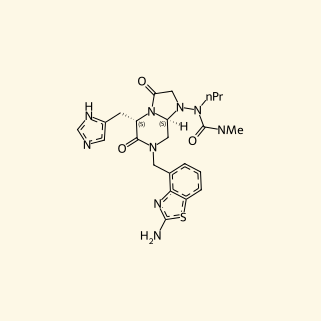 CCCN(C(=O)NC)N1CC(=O)N2[C@@H](Cc3cnc[nH]3)C(=O)N(Cc3cccc4sc(N)nc34)C[C@@H]21